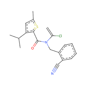 C=C(Cl)N(Cc1ccccc1C#N)C(=O)c1sc(C)cc1C(C)C